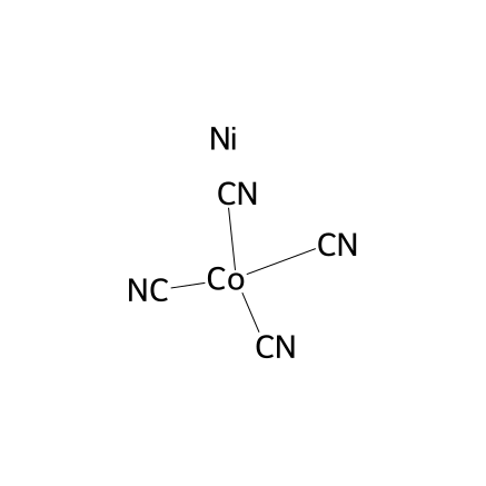 N#[C][Co]([C]#N)([C]#N)[C]#N.[Ni]